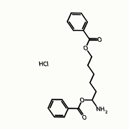 Cl.NC(CCCCCOC(=O)c1ccccc1)OC(=O)c1ccccc1